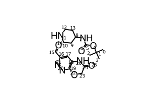 CC(C)(C)OC(=O)NC1CCNCC1.O=Cc1cc2c(nn1)OCC(=O)N2